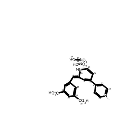 O=C(O)c1cc(C=C2C=C(c3ccncc3)C=CN2)cc(C(=O)O)c1.O=[N+]([O-])O.O=[N+]([O-])O